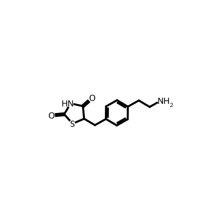 NCCc1ccc(CC2SC(=O)NC2=O)cc1